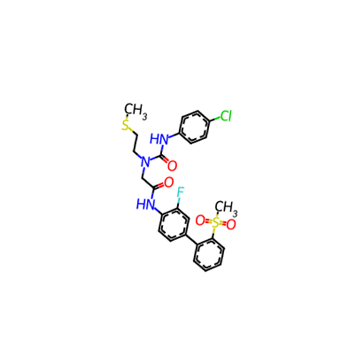 CSCCN(CC(=O)Nc1ccc(-c2ccccc2S(C)(=O)=O)cc1F)C(=O)Nc1ccc(Cl)cc1